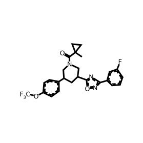 CC1(C(=O)N2CC(c3ccc(OC(F)(F)F)cc3)CC(c3nc(-c4cccc(F)c4)no3)C2)CC1